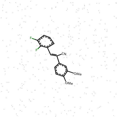 COc1ccc(/C(C#N)=C/c2cccc(F)c2F)cc1OC